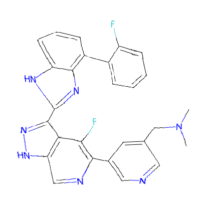 CN(C)Cc1cncc(-c2ncc3[nH]nc(-c4nc5c(-c6ccccc6F)cccc5[nH]4)c3c2F)c1